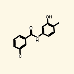 Cc1ccc(NC(=O)c2cccc(Cl)c2)cc1O